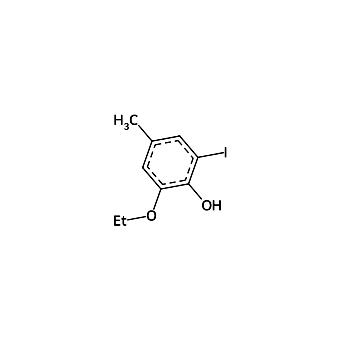 CCOc1cc(C)cc(I)c1O